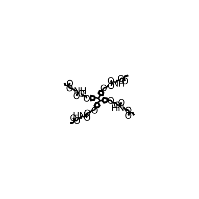 C=CC(=O)OCCNC(=O)OCCOc1ccc(C(c2ccc(OCCOC(=O)NCCOC(=O)C=C)cc2)C(c2ccc(OCCOC(=O)NCCOC(=O)C=C)cc2)c2ccc(OCCOC(=O)NCCOC(=O)C=C)cc2)cc1